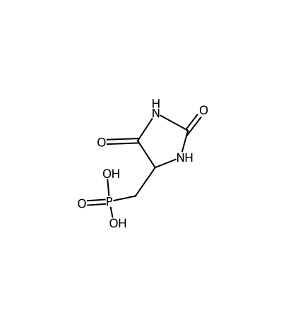 O=C1NC(=O)C(CP(=O)(O)O)N1